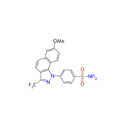 COc1ccc2c(ccc3c(C(F)(F)F)nn(-c4ccc(S(N)(=O)=O)cc4)c32)c1